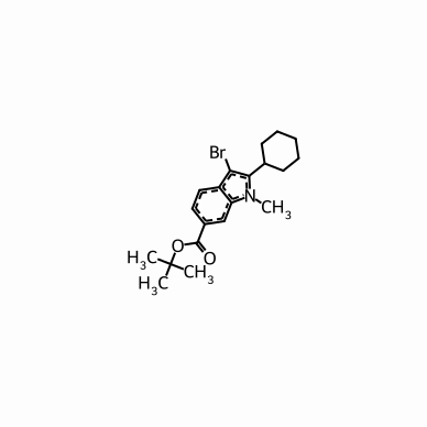 Cn1c(C2CCCCC2)c(Br)c2ccc(C(=O)OC(C)(C)C)cc21